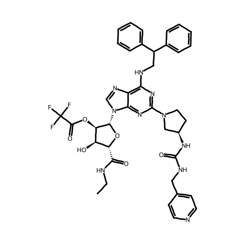 CCNC(=O)[C@H]1O[C@@H](n2cnc3c(NCC(c4ccccc4)c4ccccc4)nc(N4CC[C@@H](NC(=O)NCc5ccncc5)C4)nc32)[C@H](OC(=O)C(F)(F)F)[C@@H]1O